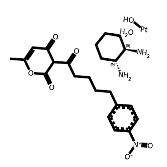 CC1=CC(=O)C(C(=O)CCCCc2ccc([N+](=O)[O-])cc2)C(=O)O1.N[C@@H]1CCCC[C@H]1N.O.[OH][Pt]